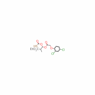 CCOC(=O)C(C)C(OC(=O)S)OC(=O)COc1ccc(Cl)cc1Cl